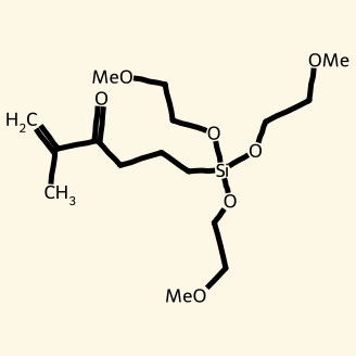 C=C(C)C(=O)CCC[Si](OCCOC)(OCCOC)OCCOC